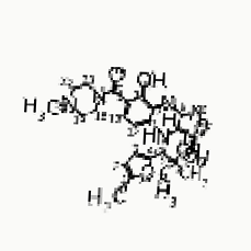 Cc1ccc([C@H](Nc2c(Nc3cccc(C(=O)N4CCN(C)CC4)c3O)no[n+]2O)C(C)(C)C)o1